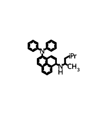 CC(C)CC(C)NC1C=Cc2c(N(c3ccccc3)c3ccccc3)ccc3cccc1c23